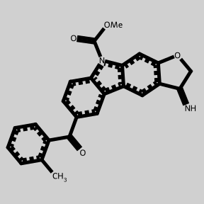 COC(=O)n1c2ccc(C(=O)c3ccccc3C)cc2c2cc3c(cc21)OCC3=N